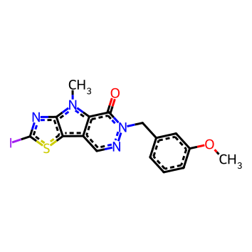 COc1cccc(Cn2ncc3c4sc(I)nc4n(C)c3c2=O)c1